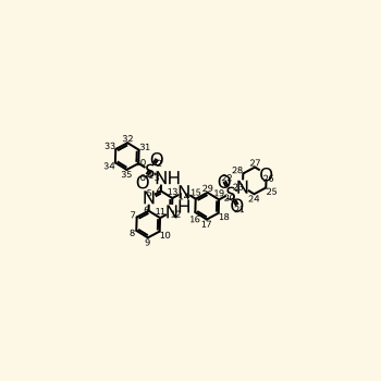 O=S(=O)(Nc1nc2ccccc2nc1Nc1cccc(S(=O)(=O)N2CCOCC2)c1)c1ccccc1